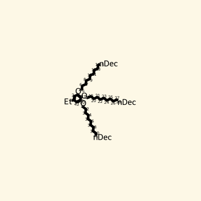 [CH2]Cc1cc(OCCCCCCCCCCCCCCCCCCCC)c(OCCCCCCCCCCCCCCCCCCCC)c(OCCCCCCCCCCCCCCCCCCCC)c1